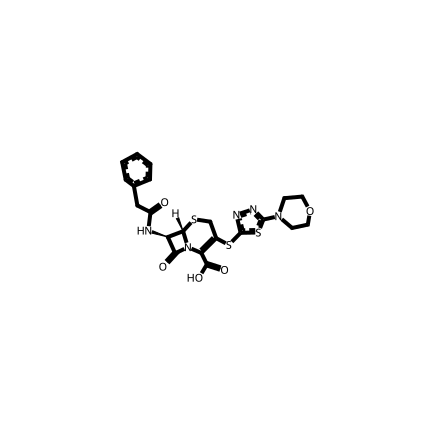 O=C(Cc1ccccc1)N[C@@H]1C(=O)N2C(C(=O)O)=C(Sc3nnc(N4CCOCC4)s3)CS[C@@H]12